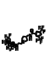 CP(NCCN1CCC(CNC(=O)c2cc(C(F)(F)F)cc(C(F)(F)F)c2)CC1)O[PH](C)(P)CC(F)(F)F